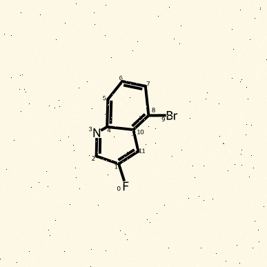 Fc1cnc2cccc(Br)c2c1